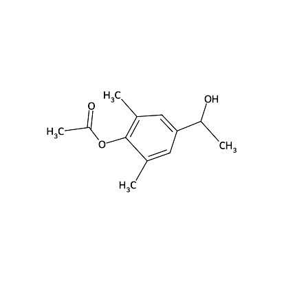 CC(=O)Oc1c(C)cc(C(C)O)cc1C